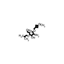 COC12CC(COC3OC(CO)C(OCC(C)C)C(O)C3N)(C1)C2